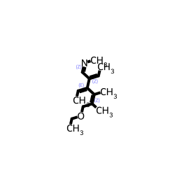 C/C=C(\C=N/C)C(=C/C)/C(C)=C(/C)COCC